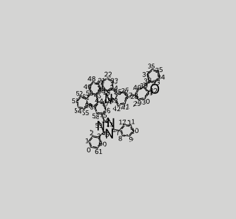 c1ccc(-c2nc(-c3ccccc3)nc(-c3cc(-n4c5ccccc5c5cc(-c6ccc7oc8ccccc8c7c6)ccc54)c4c5ccccc5c5ccccc5c4c3)n2)cc1